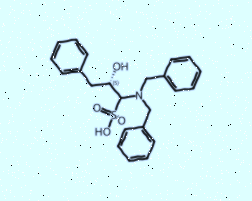 O=S(=O)(O)C([C@@H](O)Cc1ccccc1)N(Cc1ccccc1)Cc1ccccc1